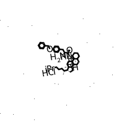 CC(C)CCC[C@@H](C)[C@H]1CC[C@H]2[C@@H]3CCC4CCCC(NC(=O)[C@@H](N)Cc5ccc(OCc6ccccc6)cc5)[C@]4(C)[C@H]3CC[C@]12C.Cl